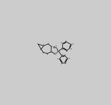 CC(C)(C)[Si](OC1CCC2CC2CC1)(c1ccccc1)c1ccccc1